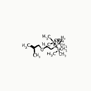 C=C(C)COCC[Si]([Si](C)(C)C)([Si](C)(C)C)[Si](C)(C)C